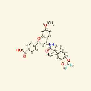 COc1ccc2c(c1)O[C@@H]([C@H]1CC[C@@H](C(=O)O)CC1)C[C@H]2NC(=O)[C@@]1(C)CCc2cc3c(cc21)OC(F)(F)O3